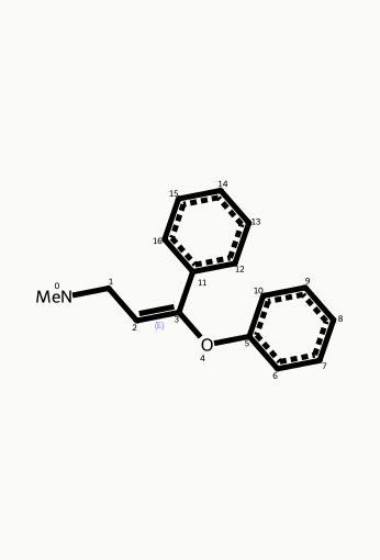 CNC/C=C(/Oc1ccccc1)c1ccccc1